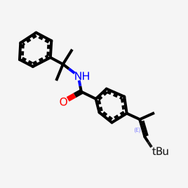 C/C(=C\C(C)(C)C)c1ccc(C(=O)NC(C)(C)c2ccccc2)cc1